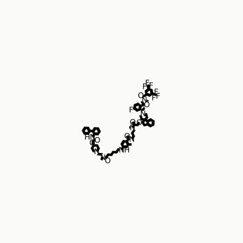 Cc1cc(NCCCCCC(=O)N(C)CCN2CCC(OC(=O)Nc3ccccc3-c3ccccc3)CC2)ccc1C(=O)N(C)CCCN(C)C(=O)CO[C@H]1Cc2ccccc2C12CCN(CC[C@]1(c3ccc(F)cc3)CN(C(=O)c3cc(C(F)(F)F)cc(C(F)(F)F)c3)CO1)CC2